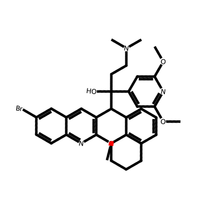 COc1cc(C(O)(CCN(C)C)C(c2cc3cc(Br)ccc3nc2OC)c2cccc3c2CCCC3)cc(OC)n1